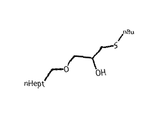 CCCCCCCCOCC(O)CSCCCC